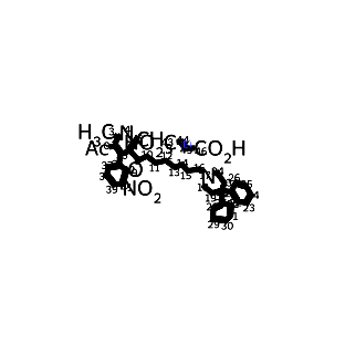 CC(=O)c1c(C)nc(C)c(C(=O)CCCCCCCN2CCC(c3ccccc3)(c3ccccc3)CC2)c1-c1cccc([N+](=O)[O-])c1.O=C(O)/C=C/C(=O)O